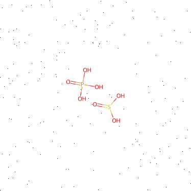 O=P(O)(O)O.O=S(O)O